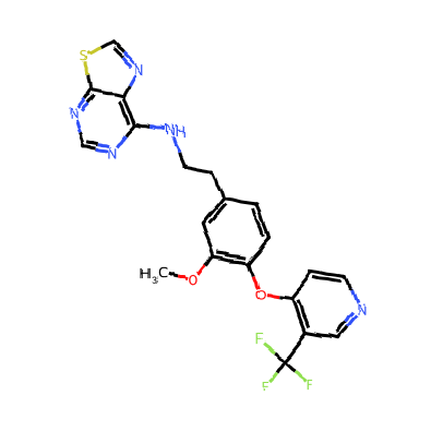 COc1cc(CCNc2ncnc3scnc23)ccc1Oc1ccncc1C(F)(F)F